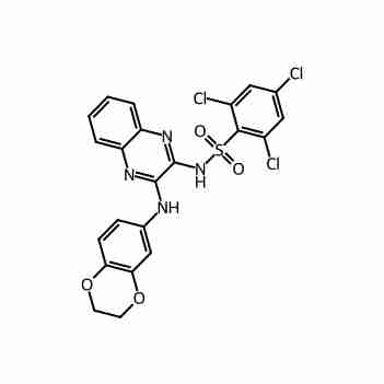 O=S(=O)(Nc1nc2ccccc2nc1Nc1ccc2c(c1)OCCO2)c1c(Cl)cc(Cl)cc1Cl